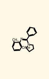 COc1cccc(C)c1N=C(c1ccccc1)N1CCCC1